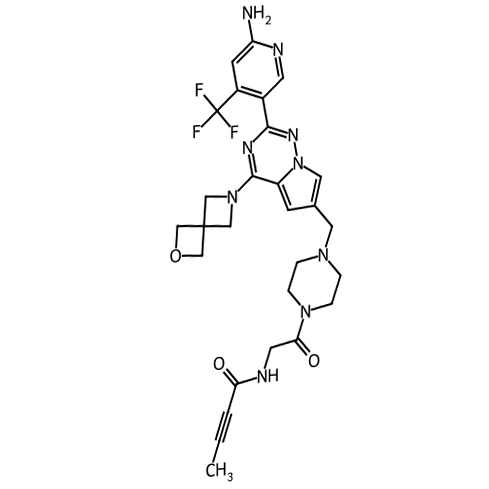 CC#CC(=O)NCC(=O)N1CCN(Cc2cc3c(N4CC5(COC5)C4)nc(-c4cnc(N)cc4C(F)(F)F)nn3c2)CC1